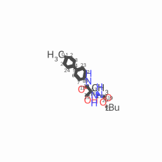 Cc1ccc(-c2ccc(NC(=O)C(C)(CO)NNC(=O)OC(C)(C)C)cc2)cc1